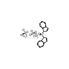 CS(=O)(=O)[O-].CS(=O)(=O)[O-].[CH2]=[Zr+2]([CH]1C=Cc2ccccc21)[CH]1C=Cc2ccccc21